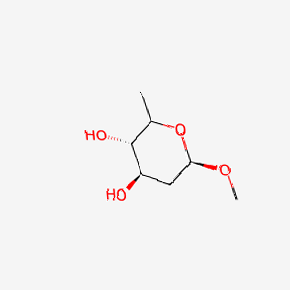 CO[C@H]1C[C@@H](O)[C@H](O)C(C)O1